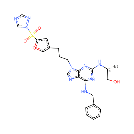 CC[C@H](CO)Nc1nc(NCc2ccccc2)c2ncn(CCCc3coc(S(=O)(=O)n4cncn4)c3)c2n1